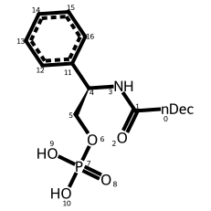 CCCCCCCCCCC(=O)N[C@@H](COP(=O)(O)O)c1ccccc1